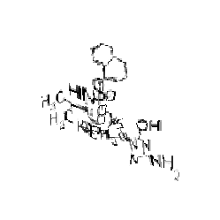 COC(=O)[C@@H](NP(=O)(OC[C@H]1S[C@@H](N2C=NC(N)=NC2O)C[C@H]1O)Oc1cccc2ccccc12)C(C)C